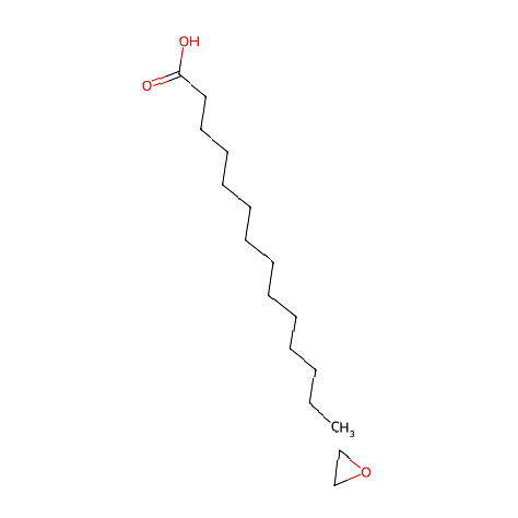 C1CO1.CCCCCCCCCCCCCC(=O)O